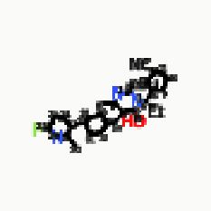 C=C1N=C(CCCC)N([C@@H](CC)c2cccc(C#N)c2)C(O)=C1Cc1ccc(-c2ccc(F)nc2C)cc1